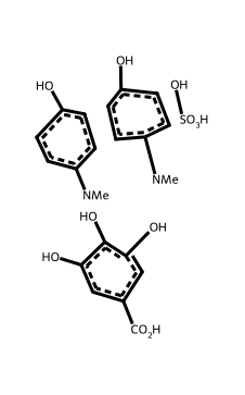 CNc1ccc(O)cc1.CNc1ccc(O)cc1.O=C(O)c1cc(O)c(O)c(O)c1.O=S(=O)(O)O